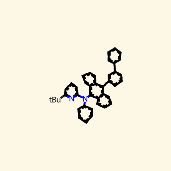 CC(C)(C)c1cccc(N(c2ccccc2)c2c3ccccc3c(-c3cccc(-c4ccccc4)c3)c3ccccc23)n1